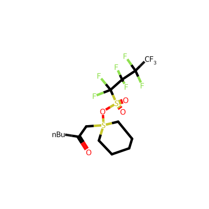 CCCCC(=O)CS1(OS(=O)(=O)C(F)(F)C(F)(F)C(F)(F)C(F)(F)F)CCCCC1